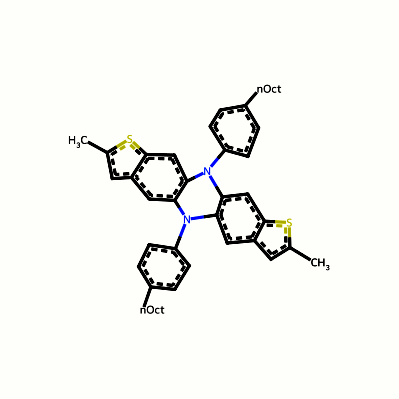 CCCCCCCCc1ccc(N2c3cc4cc(C)sc4cc3N(c3ccc(CCCCCCCC)cc3)c3cc4sc(C)cc4cc32)cc1